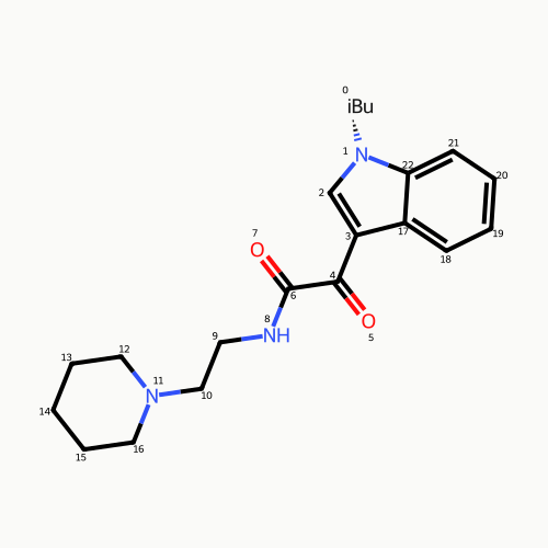 CC[C@@H](C)n1cc(C(=O)C(=O)NCCN2CCCCC2)c2ccccc21